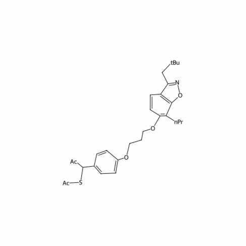 CCCc1c(OCCCOc2ccc(C(SC(C)=O)C(C)=O)cc2)ccc2c(CC(C)(C)C)noc12